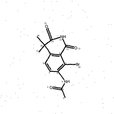 CC(=O)Nc1ccc2c(c1Br)C(=O)NC(=O)C2(C)C